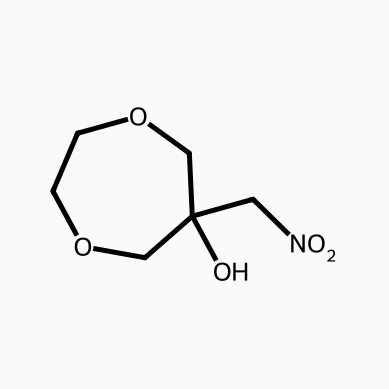 O=[N+]([O-])CC1(O)COCCOC1